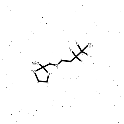 COC1(COCCC(F)(F)C(F)(F)C(F)(F)F)OCCO1